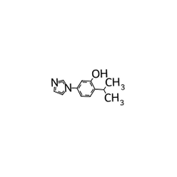 CC(C)c1ccc(-n2ccnc2)cc1O